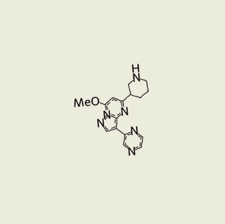 COc1cc(C2CCCNC2)nc2c(-c3cnccn3)cnn12